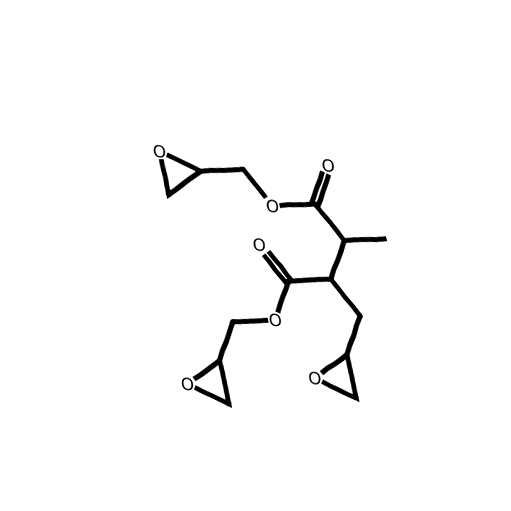 CC(C(=O)OCC1CO1)C(CC1CO1)C(=O)OCC1CO1